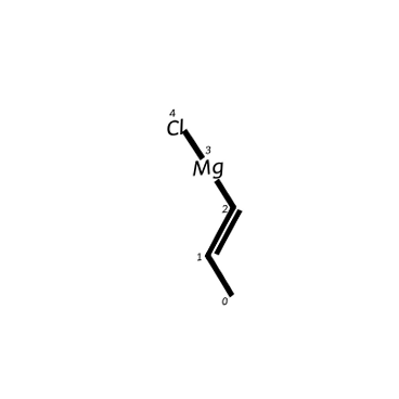 CC=[CH][Mg][Cl]